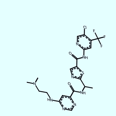 CC(NC(=O)c1cc(NCCN(C)C)ncn1)c1ncc(C(=O)Nc2cc(C(F)(F)F)c(Cl)cn2)s1